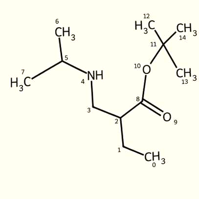 CCC(CNC(C)C)C(=O)OC(C)(C)C